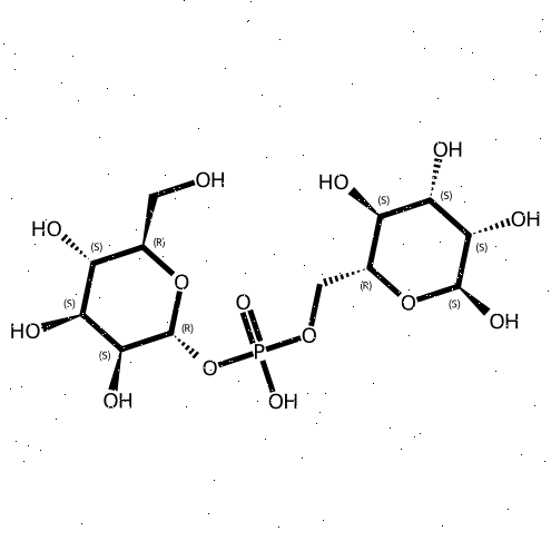 O=P(O)(OC[C@H]1O[C@H](O)[C@@H](O)[C@@H](O)[C@@H]1O)O[C@H]1O[C@H](CO)[C@@H](O)[C@H](O)[C@@H]1O